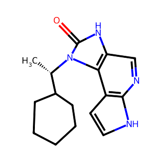 C[C@@H](C1CCCCC1)n1c(=O)[nH]c2cnc3[nH]ccc3c21